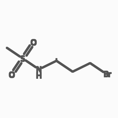 CS(=O)(=O)N[CH]CCBr